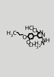 CCCCOc1ccc(-c2cc(NN)nnc2Cl)cc1OC.Cl